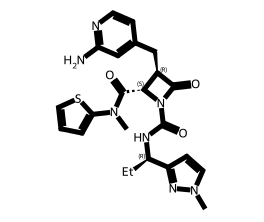 CC[C@@H](NC(=O)N1C(=O)[C@H](Cc2ccnc(N)c2)[C@H]1C(=O)N(C)c1cccs1)c1ccn(C)n1